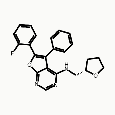 Fc1ccccc1-c1oc2ncnc(NC[C@@H]3CCCO3)c2c1-c1ccccc1